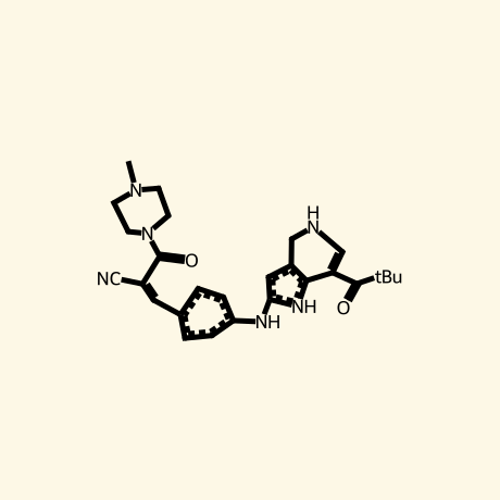 CN1CCN(C(=O)C(C#N)=Cc2ccc(Nc3cc4c([nH]3)C(C(=O)C(C)(C)C)=CNC4)cc2)CC1